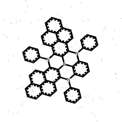 c1ccc(N2c3cccc4c3B3c5c2c2ccc6cccc7ccc(c5N(c5ccccc5)c5c3c(c3ccc8cccc9ccc5c3c89)N4c3ccccc3)c2c67)cc1